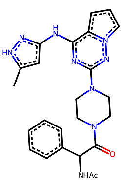 CC(=O)NC(C(=O)N1CCN(c2nc(Nc3cc(C)[nH]n3)c3cccn3n2)CC1)c1ccccc1